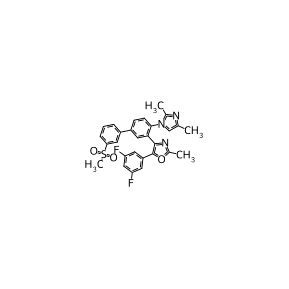 Cc1cn(-c2ccc(-c3cccc(S(C)(=O)=O)c3)cc2-c2nc(C)oc2-c2cc(F)cc(F)c2)c(C)n1